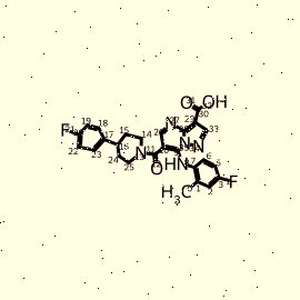 Cc1cc(F)ccc1Nc1c(C(=O)N2CCC(c3ccc(F)cc3)CC2)cnc2c(C(=O)O)cnn12